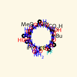 CCCC[C@H]1C(=O)N2C[C@H](O)C[C@@H]2C(=O)N[C@@H](CC(=O)O)C(=O)N[C@@H](C(C)C)C(=O)N(C)[C@@H](Cc2ccccc2)C(=O)N[C@@H](CCOC)C(=O)N2CCOC[C@@H]2C(=O)N[C@@H](Cc2c[nH]c3ccccc23)C(=O)N[C@@H](Cc2ccc(O)cc2)C(=O)N[C@@H](CC(C)C)C(=O)N[C@H](C(=O)NCC(N)=O)CSCC(=O)N[C@@H](Cc2ccc(F)c(F)c2)C(=O)N(C)[C@@H](Cc2ccccc2)C(=O)N1C